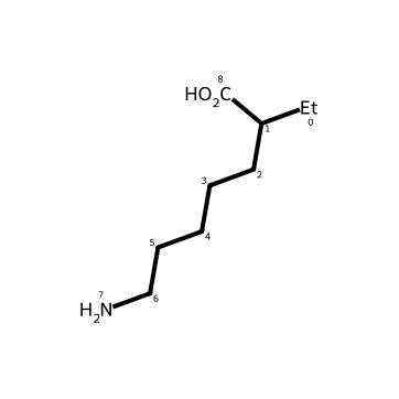 CCC(CCCCCN)C(=O)O